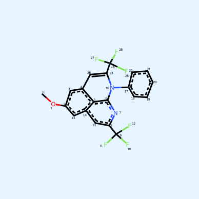 COc1cc2c3c(nc(C(F)(F)F)cc3c1)N(c1ccccc1)C(C(F)(F)F)=C2